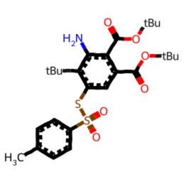 Cc1ccc(S(=O)(=O)Sc2cc(C(=O)OC(C)(C)C)c(C(=O)OC(C)(C)C)c(N)c2C(C)(C)C)cc1